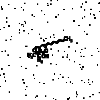 CCCCCCCSC[C@H]1COC(C)(C)N1C(=O)O